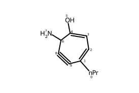 CCCC1=CC=C(O)C(N)C#C1